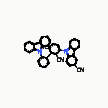 N#Cc1ccc2c(c1)c1ccccc1n2-c1ccc(C#N)c(-c2ccccc2-n2c3ccccc3c3ccccc32)c1C#N